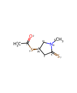 CC(=O)S[C@@H]1CC(=S)N(C)C1